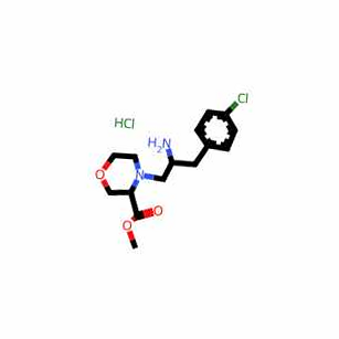 COC(=O)C1COCCN1CC(N)Cc1ccc(Cl)cc1.Cl